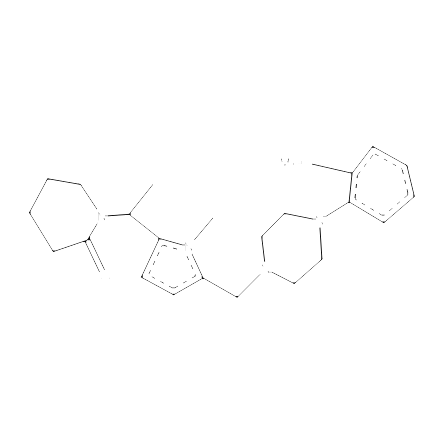 COc1ccccc1N1CCN(Cc2ccc(C(C)N3CCCCC3=O)n2C)CC1